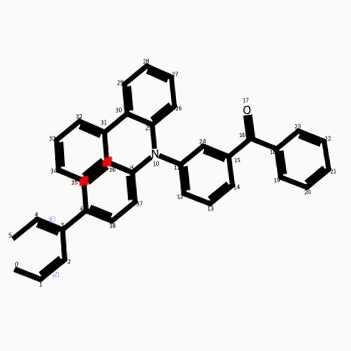 C/C=C\C(=C/C)c1ccc(N(c2cccc(C(=O)c3ccccc3)c2)c2ccccc2-c2ccccc2)cc1